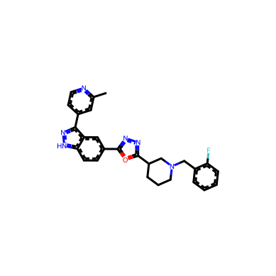 Cc1cc(-c2n[nH]c3ccc(-c4nnc(C5CCCN(Cc6ccccc6F)C5)o4)cc23)ccn1